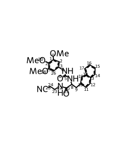 COc1cc(NC(=O)NC(Cc2ccc3ccccc3c2)C(=O)NCCC#N)cc(OC)c1OC